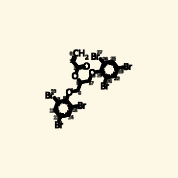 C=CC(=O)OC(COc1c(Br)cc(Br)cc1Br)COc1c(Br)cc(Br)cc1Br